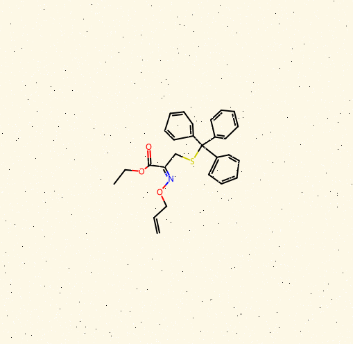 C=CCON=C(CSC(c1ccccc1)(c1ccccc1)c1ccccc1)C(=O)OCC